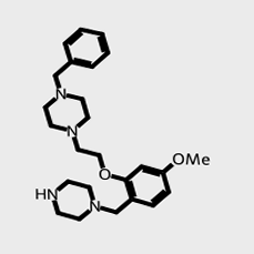 COc1ccc(CN2CCNCC2)c(OCCN2CCN(Cc3ccccc3)CC2)c1